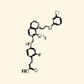 Cc1c(CNc2ccc(CCC(=O)O)c(F)c2)ccc2c1N(CCOc1cccc(Cl)c1)CCC2